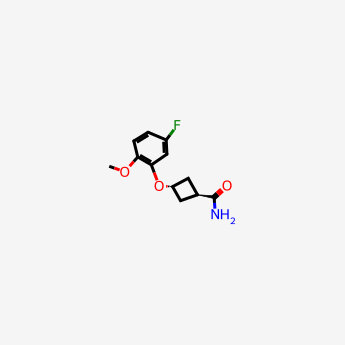 COc1ccc(F)cc1O[C@H]1C[C@H](C(N)=O)C1